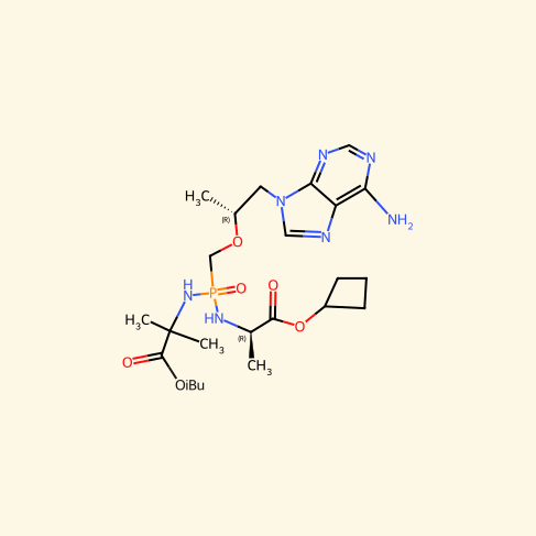 CC(C)COC(=O)C(C)(C)NP(=O)(CO[C@H](C)Cn1cnc2c(N)ncnc21)N[C@H](C)C(=O)OC1CCC1